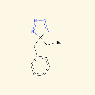 CC(C)(C)CC1(Cc2ccccc2)N=NN=N1